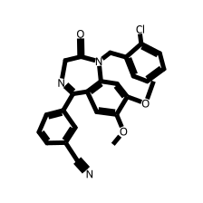 COc1cc2c(cc1OC)N(Cc1ccccc1Cl)C(=O)CN=C2c1cccc(C#N)c1